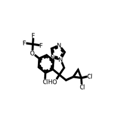 OC(CC1CC1(Cl)Cl)(Cn1cncn1)c1ccc(OC(F)(F)F)cc1Cl